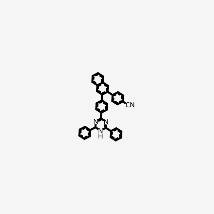 N#Cc1ccc(-c2cc3ccccc3cc2-c2ccc(C3=NC(c4ccccc4)NC(c4ccccc4)=N3)cc2)cc1